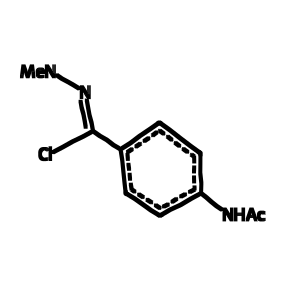 CN/N=C(\Cl)c1ccc(NC(C)=O)cc1